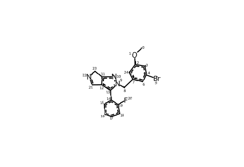 COc1cc(Br)cc(Cn2nc3c(c2-c2ccccc2F)C=NC3)c1